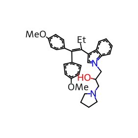 CCC(=C(c1ccc(OC)cc1)c1ccc(OC)cc1)c1cn(CC(O)CN2CCCC2)c2ccccc12